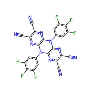 N#Cc1nc2c(nc1C#N)N(c1cc(F)c(F)c(F)c1)c1nc(C#N)c(C#N)nc1N2c1cc(F)c(F)c(F)c1